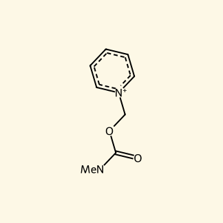 CNC(=O)OC[n+]1ccccc1